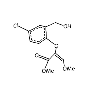 CO/C=C(/Oc1ccc(Cl)cc1CO)C(=O)OC